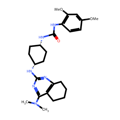 COc1ccc(NC(=O)N[C@H]2CC[C@@H](Nc3nc4c(c(N(C)C)n3)CCCC4)CC2)c(OC)c1